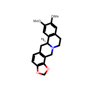 COc1cc2c(cc1OC)[C@@H]1Cc3ccc4c(c3CN1CC2)OCO4